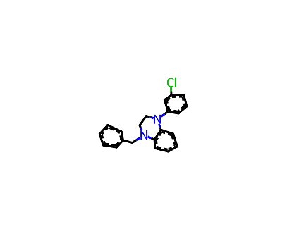 Clc1cccc(N2CCN(Cc3ccccc3)c3ccccc32)c1